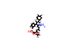 CC1=C(C)CC=C(C(C)C(C)C(/C(N)=C/CC(C)CC(OC(C)(C)C)C2OC2O)c2ccc(C)c(C)c2)C=C1